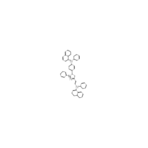 C(=CN(c1ccccc1)c1cccc2ccccc12)C1=NN(c2ccccc2)C(c2ccc(N(c3ccccc3)c3cccc4ccccc34)cc2)C1